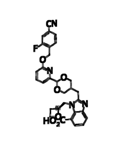 N#Cc1ccc(COc2cccc(C3OCC(Cc4nc5cccc(C(=O)O)c5n4C[C@@H]4CCO4)CO3)n2)c(F)c1